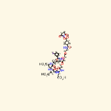 O=C(O)CC[C@@H](NC(=O)CCOCCOCCOCCNC(=O)C1CCC(C(=O)ON2C(=O)CCC2=O)CC1)C(=O)N[C@H](CCC(=O)O)C(=O)N[C@H](CCC(=O)O)C(=O)N[C@H](CCCCNC(=O)c1cccc(I)c1)C(=O)O